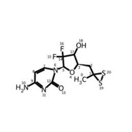 CC1(C[C@H]2O[C@@H](n3ccc(N)nc3=O)C(F)(F)C2O)SS1